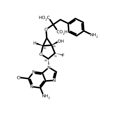 Nc1ccc(CC(OC2[C@H]3O[C@@H](n4cnc5c(N)nc(Cl)nc54)[C@@H](F)[C@@]23O)(C(=O)O)C(=O)O)cc1